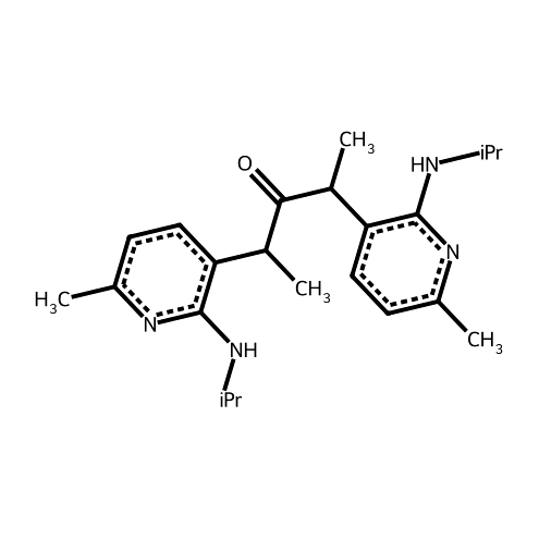 Cc1ccc(C(C)C(=O)C(C)c2ccc(C)nc2NC(C)C)c(NC(C)C)n1